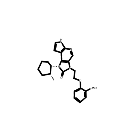 COc1ccccc1OCCn1c(=O)n([C@H]2CCCC[C@H]2C)c2c3cc[nH]c3ncc21